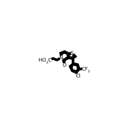 O=C(O)CCn1ccc2scc(-c3ccc(Cl)c(C(F)(F)F)c3)c2c1=O